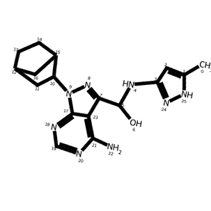 Cc1cc(NC(O)c2nn(C3CC4CCC3C4)c3ncnc(N)c23)n[nH]1